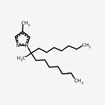 CCCCCCCC(C)(CCCCCCC)n1cc(C)cn1